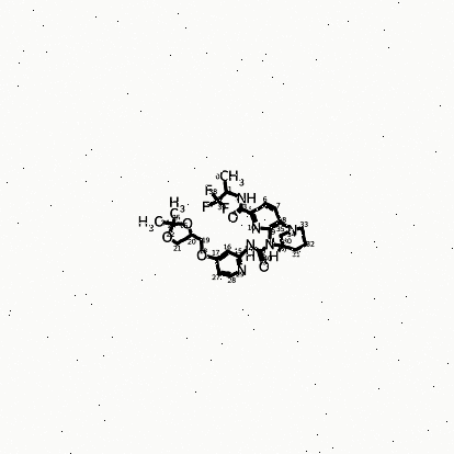 CC(NC(=O)c1ccc2c(n1)N(C(=O)Nc1cc(OCC3COC(C)(C)O3)ccn1)[C@H]1CCCN2C1)C(F)(F)F